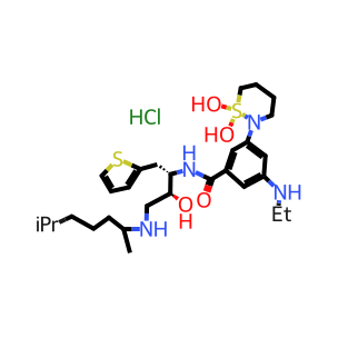 CCNc1cc(C(=O)N[C@@H](Cc2cccs2)[C@@H](O)CNC(C)CCCC(C)C)cc(N2CCCCS2(O)O)c1.Cl